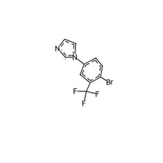 FC(F)(F)c1cc(-n2[c]ncc2)ccc1Br